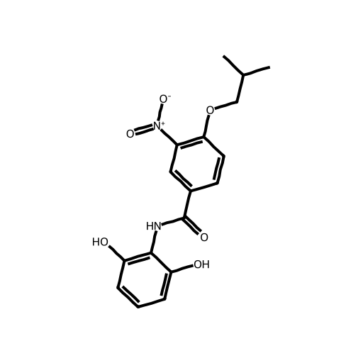 CC(C)COc1ccc(C(=O)Nc2c(O)cccc2O)cc1[N+](=O)[O-]